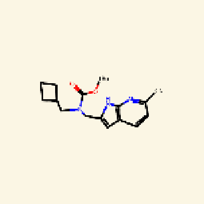 CC(C)(C)OC(=O)N(Cc1cc2ccc(C#N)nc2[nH]1)CC1CCC1